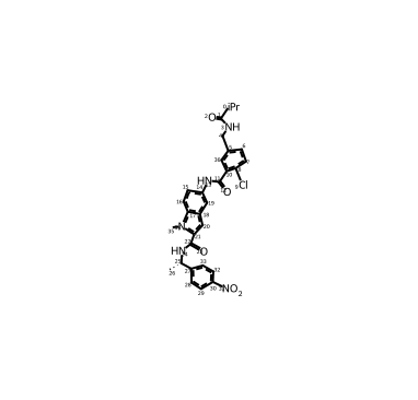 CC(C)C(=O)NCc1ccc(Cl)c(C(=O)Nc2ccc3c(c2)cc(C(=O)N[C@@H](C)c2ccc([N+](=O)[O-])cc2)n3C)c1